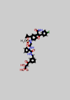 CS(=O)(=O)N(CC(=O)NC1(C(=O)NCc2cccc(C(=O)/C=C(\O)C(=O)O)c2)CCCC1)c1cc2oc(-c3ccc(F)cc3)c(C(N)=O)c2cc1C1CC1